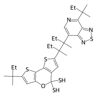 CCC(C)(C)c1cc2c(s1)-c1sc(C(C)(CC)C(C)(CC)c3cnc(C(C)(C)CC)c4nsnc34)cc1C(S)(S)O2